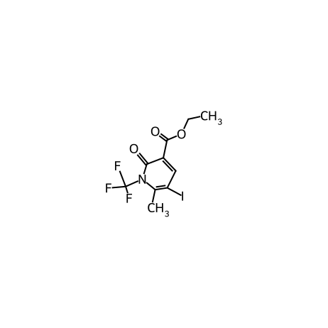 CCOC(=O)c1cc(I)c(C)n(C(F)(F)F)c1=O